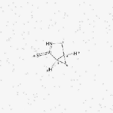 S=C1NC[C@H]2C[C@@H]12